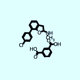 CNC1Cc2cccc(-c3ccc(Cl)cc3)c2O1.O=C(O)c1cccc(C(=O)O)c1